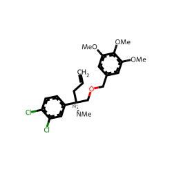 C=CC[C@](COCc1cc(OC)c(OC)c(OC)c1)(NC)c1ccc(Cl)c(Cl)c1